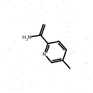 C=C(N)c1ccc(C)cn1